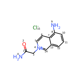 NC(=O)C[n+]1ccc2c(N)cccc2c1.[Cl-]